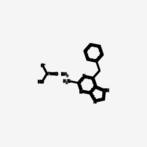 N.Nc1nc(Cc2ccccc2)c2[nH]cnc2n1.O=[N+]([O-])O